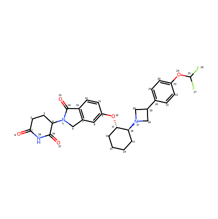 O=C1CCC(N2Cc3cc(O[C@H]4CCCC[C@@H]4N4CC(c5ccc(OC(F)F)cc5)C4)ccc3C2=O)C(=O)N1